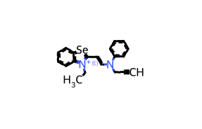 C#CCN(/C=C/c1[se]c2ccccc2[n+]1CC)c1ccccc1